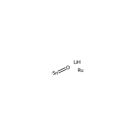 [LiH].[O]=[Sn].[Ru]